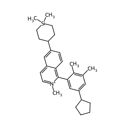 Cc1cc(C2CCCC2)cc(-c2c3ccc(C4CC[Si](C)(C)CC4)cc3cc[n+]2C)c1C